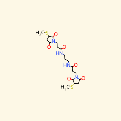 CSC1CC(=O)N(CCC(=O)NCCCNC(=O)CCN2C(=O)CC(SC)C2=O)C1=O